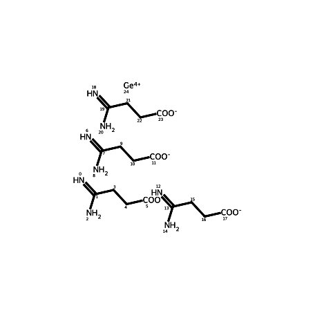 N=C(N)CCC(=O)[O-].N=C(N)CCC(=O)[O-].N=C(N)CCC(=O)[O-].N=C(N)CCC(=O)[O-].[Ge+4]